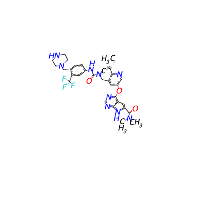 CC[C@H]1CN(C(=O)Nc2ccc(CN3CCNCC3)c(C(F)(F)F)c2)Cc2cc(Oc3ncnc4[nH]c(C(=O)N(C)C)cc34)cnc21